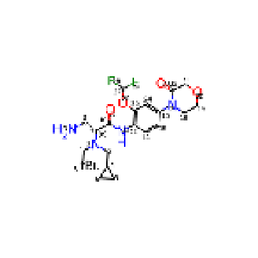 CC(C)(C)CN(CC1CC1)[C@H](CN)C(=O)Nc1ccc(N2CCOCC2=O)cc1OC(F)F